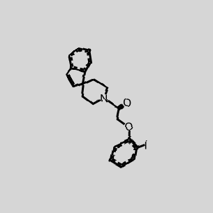 O=C(COc1ccccc1I)N1CCC2(C=Cc3ccccc32)CC1